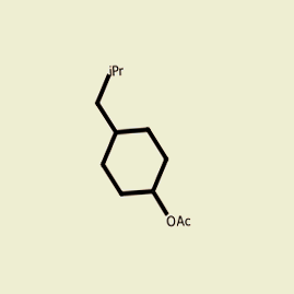 CC(=O)OC1CCC(CC(C)C)CC1